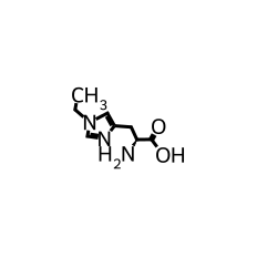 CCn1cnc(C[C@H](N)C(=O)O)c1